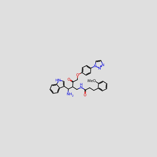 COc1ccccc1CCC(=O)NCC(C(=O)COc1ccc(-n2ccnn2)cc1)C(N)c1c[nH]c2ccccc12